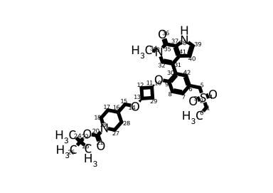 CCS(=O)(=O)Cc1ccc(O[C@H]2C[C@H](OCC3CCN(C(=O)OC(C)(C)C)CC3)C2)c(-c2cn(C)c(=O)c3[nH]ccc23)c1